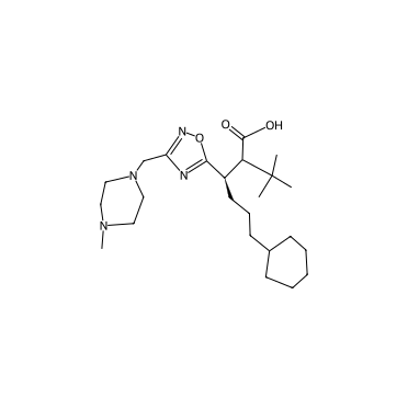 CN1CCN(Cc2noc([C@H](CCCC3CCCCC3)C(C(=O)O)C(C)(C)C)n2)CC1